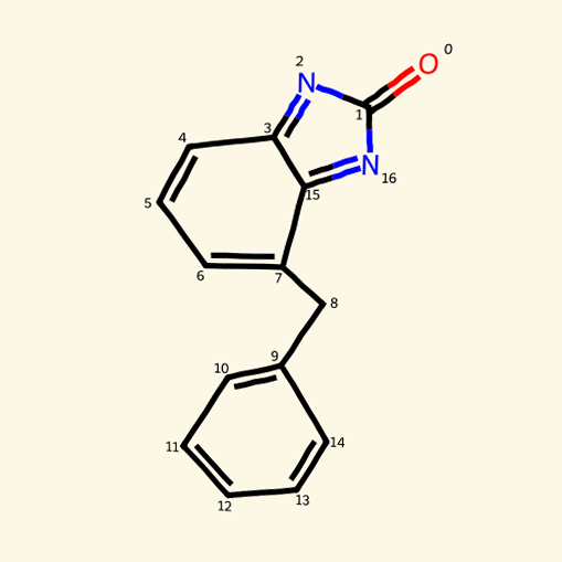 O=C1N=c2cccc(Cc3ccccc3)c2=N1